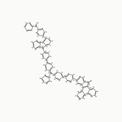 CN(c1ccccc1)c1ccc(-c2cccc3c2c2ccccc2n3-c2ccc(-c3ccc(N(c4ccccc4)c4ccc(-c5ccc(-c6ccc7c(c6)c6c8ccccc8c8ccccc8c6n7C)cc5)cc4)cc3)cc2)cc1